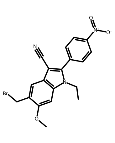 CCn1c(-c2ccc([N+](=O)[O-])cc2)c(C#N)c2cc(CBr)c(OC)cc21